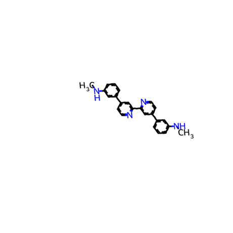 CNc1cccc(-c2ccnc(-c3cc(-c4cccc(NC)c4)ccn3)c2)c1